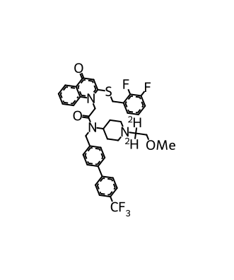 [2H]C([2H])(COC)N1CCC(N(Cc2ccc(-c3ccc(C(F)(F)F)cc3)cc2)C(=O)Cn2c(SCc3cccc(F)c3F)cc(=O)c3ccccc32)CC1